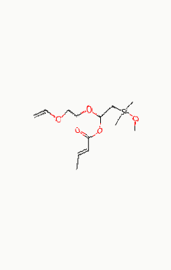 C=COCCOC(C[Si](C)(C)OC)OC(=O)C=CC